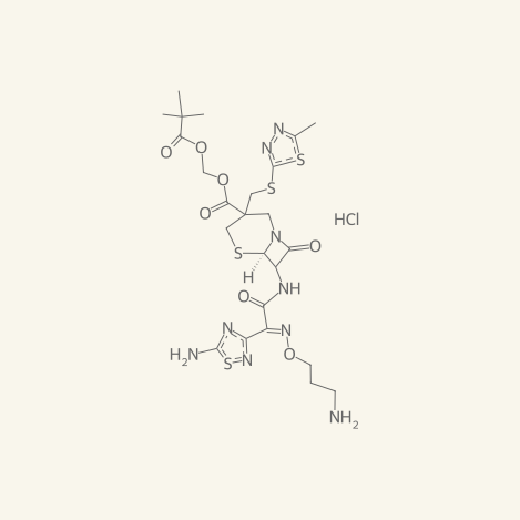 Cc1nnc(SCC2(C(=O)OCOC(=O)C(C)(C)C)CS[C@@H]3C(NC(=O)C(=NOCCCN)c4nsc(N)n4)C(=O)N3C2)s1.Cl